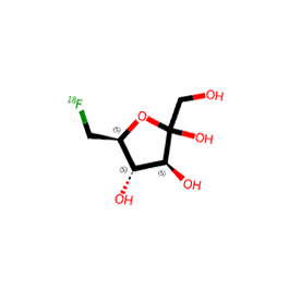 OCC1(O)O[C@H](C[18F])[C@@H](O)[C@@H]1O